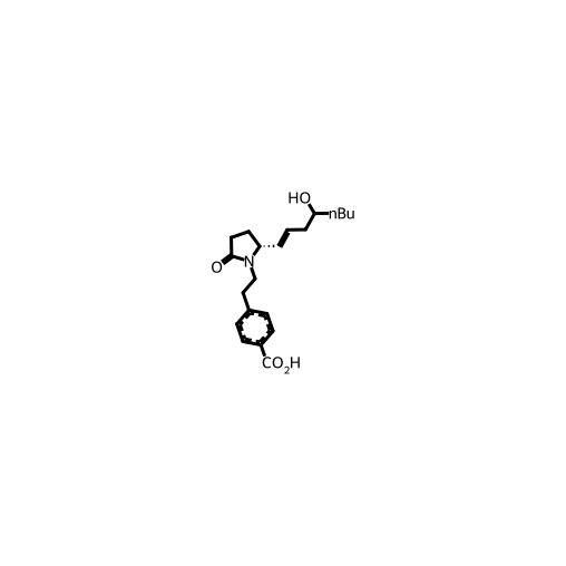 CCCCC(O)CC=C[C@H]1CCC(=O)N1CCc1ccc(C(=O)O)cc1